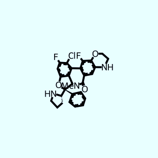 CNC(=O)c1cc2c(c(F)c1-c1c(Cl)c(F)cc3c1C[C@](c1ccccc1)([C@@H]1CCCN1)O3)OCCN2